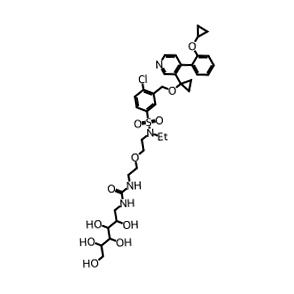 CCN(CCOCCNC(=O)NCC(O)C(O)C(O)C(O)CO)S(=O)(=O)c1ccc(Cl)c(COC2(c3cnccc3-c3ccccc3OC3CC3)CC2)c1